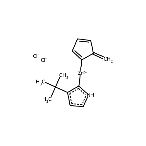 C=C1C=CC=[C]1[Zr+2][c]1[nH]ccc1C(C)(C)C.[Cl-].[Cl-]